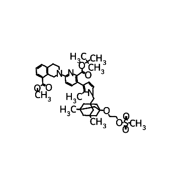 COC(=O)c1cccc2c1CN(c1ccc(-c3ccn(CC45CC6(C)CC(C)(C4)CC(OCCOS(C)(=O)=O)(C6)C5)c3C)c(C(=O)OC(C)(C)C)n1)CC2